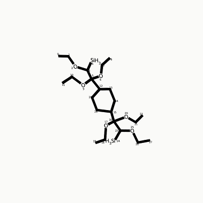 CCOC([SiH3])C(OCC)(OCC)C1CCC(C(OCC)(OCC)C([SiH3])OCC)CC1